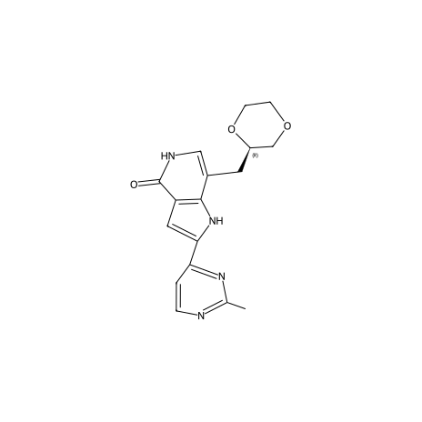 Cc1nccc(-c2cc3c(=O)[nH]cc(C[C@@H]4COCCO4)c3[nH]2)n1